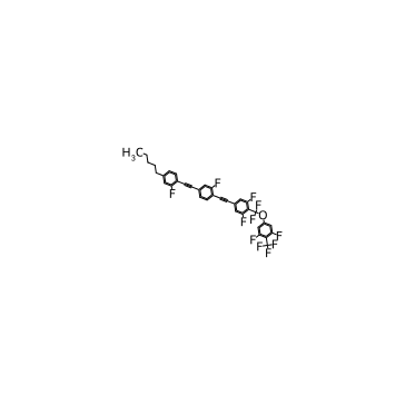 CCCCCc1ccc(C#Cc2ccc(C#Cc3cc(F)c(C(F)(F)Oc4cc(F)c(C(F)(F)F)c(F)c4)c(F)c3)c(F)c2)c(F)c1